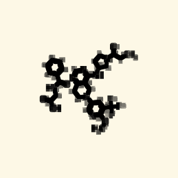 CCC(=O)N1CC[C@H](Nc2ncnc3c2CN(c2cnc(OC)c(C(F)(F)F)c2)CC3)C1.O=C(O)CNC(=O)c1ccccc1